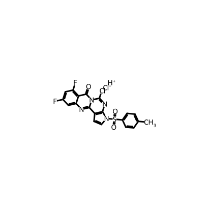 Cc1ccc(S(=O)(=O)n2ccc3c2nc(Cl)n2c(=O)c4c(F)cc(F)cc4nc32)cc1.[Cl-].[H+]